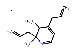 C=CCC1=CC=NC(CC=C)(C(=O)O)C1C(=O)O